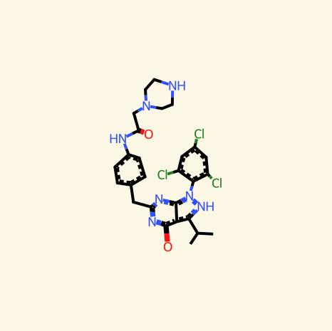 CC(C)c1[nH]n(-c2c(Cl)cc(Cl)cc2Cl)c2nc(Cc3ccc(NC(=O)CN4CCNCC4)cc3)nc(=O)c1-2